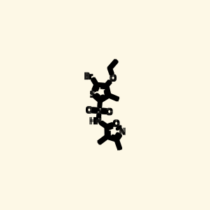 CCOc1c(Br)sc(S(=O)(=O)Nc2onc(C)c2C)c1C